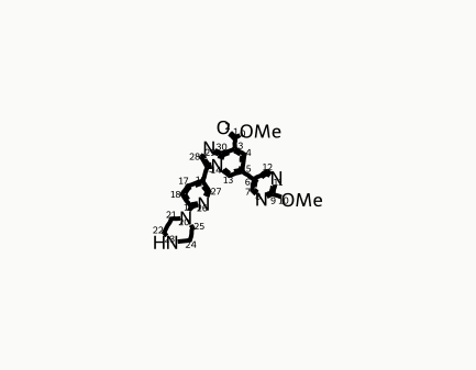 COC(=O)c1cc(-c2cnc(OC)nc2)cn2c(-c3ccc(N4CCNCC4)nc3)cnc12